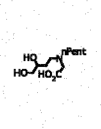 CCCCCN(CCC(O)CO)CC(=O)O